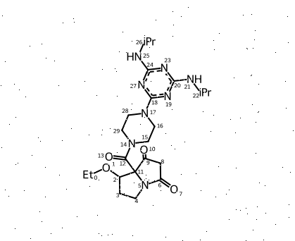 CCOC1CCN2C(=O)CC(=O)C12C(=O)N1CCN(c2nc(NC(C)C)nc(NC(C)C)n2)CC1